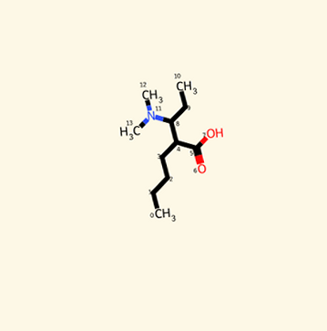 CCCCC(C(=O)O)C(CC)N(C)C